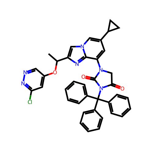 CC(Oc1cnnc(Cl)c1)c1cn2cc(C3CC3)cc(N3CC(=O)N(C(c4ccccc4)(c4ccccc4)c4ccccc4)C3=O)c2n1